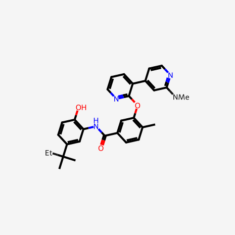 CCC(C)(C)c1ccc(O)c(NC(=O)c2ccc(C)c(Oc3ncccc3-c3ccnc(NC)c3)c2)c1